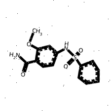 COc1cc(NS(=O)(=O)c2ccccc2)ccc1C(N)=O